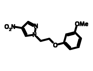 COc1cccc(OCCn2cc([N+](=O)[O-])cn2)c1